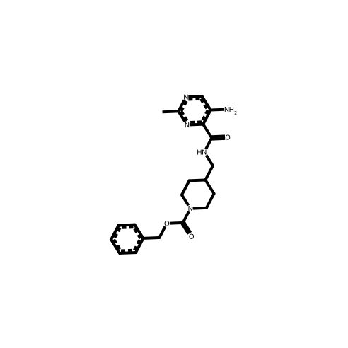 Cc1ncc(N)c(C(=O)NCC2CCN(C(=O)OCc3ccccc3)CC2)n1